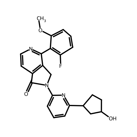 COc1cccc(F)c1-c1nccc2c1CN(c1cccc(C3CCC(O)C3)n1)C2=O